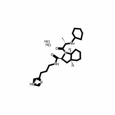 C[C@H](NC1CCCCC1)C(=O)N1[C@H](C(=O)NCCCc2c[nH]cn2)C[C@@H]2CCCC[C@@H]21.Cl.Cl